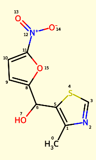 Cc1ncsc1C(O)c1ccc([N+](=O)[O-])o1